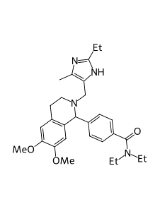 CCc1nc(C)c(CN2CCc3cc(OC)c(OC)cc3C2c2ccc(C(=O)N(CC)CC)cc2)[nH]1